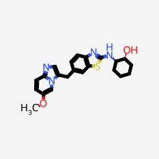 COc1ccc2ncc(Cc3ccc4nc(N[C@@H]5CCCC[C@H]5O)sc4c3)n2c1